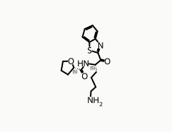 NCCCC[C@H](NC(=O)[C@@H]1CCCO1)C(=O)c1nc2ccccc2s1